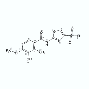 CCS(=O)(=O)c1csc(NC(=O)c2ccc(OC(F)(F)F)c(O)c2C)n1